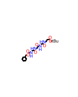 CC(C)(C)OC(=O)CCNC(=O)CNC(=O)CNC(=O)CNC(=O)OCc1ccccc1